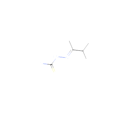 CC(=NNC(N)=S)C(C)C(C)C